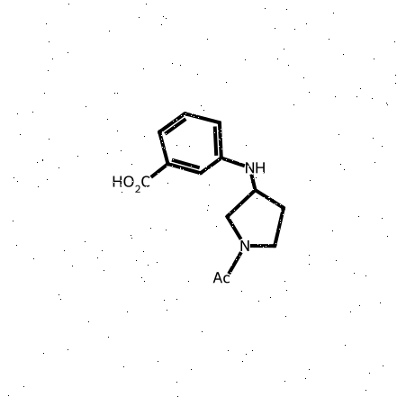 CC(=O)N1CCC(Nc2cccc(C(=O)O)c2)C1